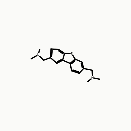 CN(C)Cc1ccc2c(c1)sc1ccc(CN(C)C)cc12